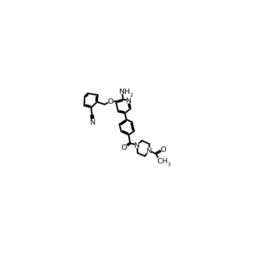 CC(=O)N1CCN(C(=O)c2ccc(-c3cnc(N)c(OCc4ccccc4C#N)c3)cc2)CC1